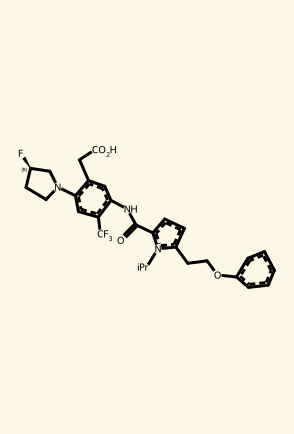 CC(C)n1c(CCOc2ccccc2)ccc1C(=O)Nc1cc(CC(=O)O)c(N2CC[C@@H](F)C2)cc1C(F)(F)F